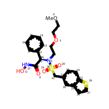 COCCOCCN([C@@H](C(=O)NO)c1ccccc1)S(=O)(=O)Cc1ccc2sccc2c1